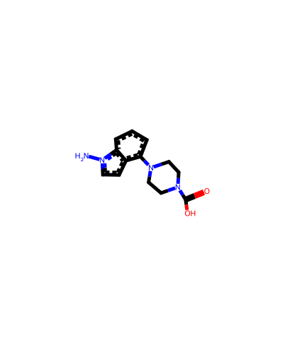 Nn1ccc2c(N3CCN(C(=O)O)CC3)cccc21